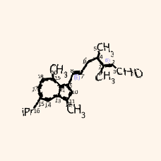 C/C(=C\C=O)C(C)C/C=C/c1cc(C)c2cc(C(C)C)ccc(C)c1-2